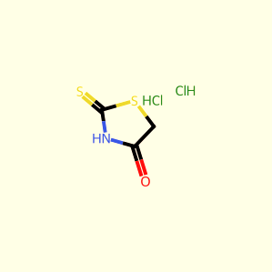 Cl.Cl.O=C1CSC(=S)N1